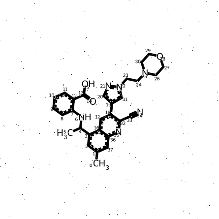 Cc1cc(C(C)Nc2ccccc2C(=O)O)c2cc(-c3cnn(CCN4CCOCC4)c3)c(C#N)nc2c1